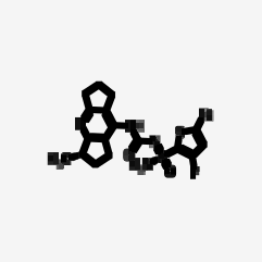 CCc1cc(F)c([S@](N)(=O)=NC(=O)Nc2c3c(nc4c2CC[C@H]4C)CCC3)s1